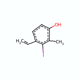 C=Cc1ccc(O)c(C)c1I